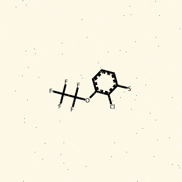 FC(F)(F)C(F)(F)Oc1cccc([S])c1Cl